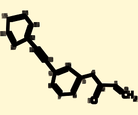 C=CC(=O)Cc1cccc(C#Cc2ccccc2)c1